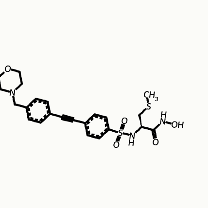 CSC[C@H](NS(=O)(=O)c1ccc(C#Cc2ccc(CN3CCOCC3)cc2)cc1)C(=O)NO